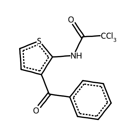 O=C(c1ccccc1)c1ccsc1NC(=O)C(Cl)(Cl)Cl